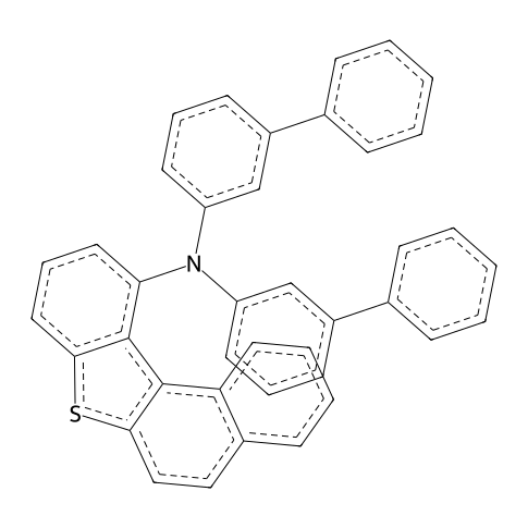 c1ccc(-c2cccc(N(c3cccc(-c4ccccc4)c3)c3cccc4sc5ccc6ccccc6c5c34)c2)cc1